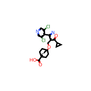 O=C(O)C12CCC(OCc3c(-c4c(Cl)cncc4Cl)noc3C3CC3)(CC1)CC2